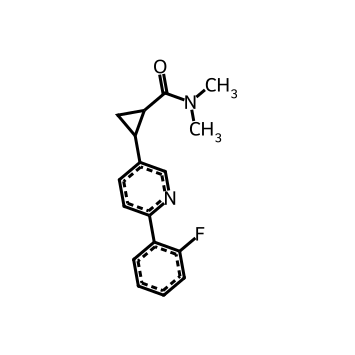 CN(C)C(=O)C1CC1c1ccc(-c2ccccc2F)nc1